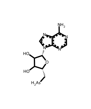 Nc1ncnc2c1ncn2[C@@H]1O[C@H](C[AsH2])C(O)C1O